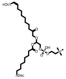 CCCCCCCC/C=C\CCCCCCCC(=O)COC(COP(=O)(O)OCC[N+](C)(C)C)OC(=O)CCCCCCCCCCCCCCCCC